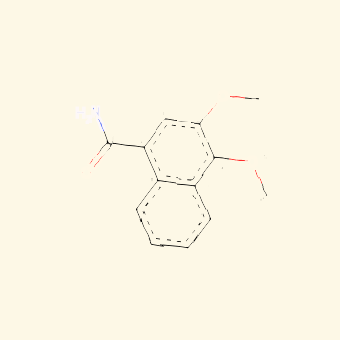 COc1cc(C(N)=O)c2ccccc2c1OC